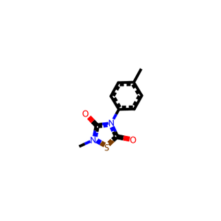 Cc1ccc(-n2c(=O)sn(C)c2=O)cc1